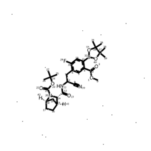 COC(=O)c1cc(CC(C#N)NC(=O)[C@@H]2[C@H]3CC[C@H](C3)N2C(=O)OC(C)(C)C)c(F)cc1B1OC(C)(C)C(C)(C)O1